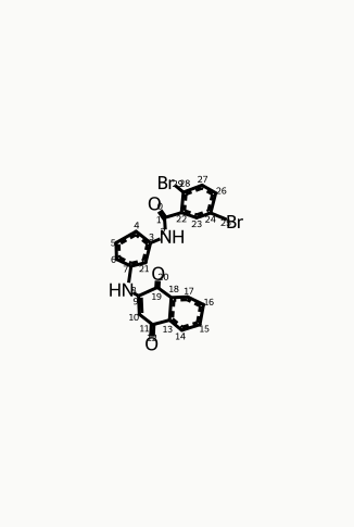 O=C(Nc1cccc(NC2=CC(=O)c3ccccc3C2=O)c1)c1cc(Br)ccc1Br